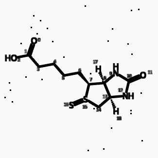 O=C(O)CCCC[C@H]1[C@H]2NC(=O)N[C@H]2CS1=S